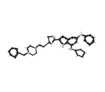 c1ccc(CN2CCN(CCC3CSC(c4cc5cc(Oc6ccccc6)cc(NC6CCCC6)c5[nH]4)=N3)CC2)cc1